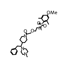 COc1cc(C)c(S(=O)(=O)N(C)CCOCC(=O)N2CCC(C(Cc3ccccc3)N3CCN(C)CC3)CC2)c(C)c1